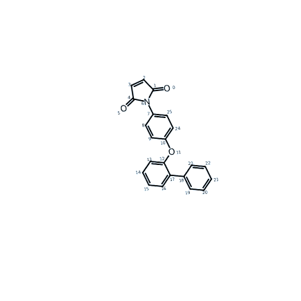 O=C1C=CC(=O)N1c1ccc(Oc2ccccc2-c2ccccc2)cc1